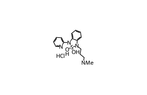 CNCCCN1c2ccccc2N(c2ccccn2)S1(O)O.Cl